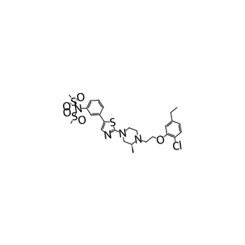 CCc1ccc(Cl)c(OCCN2CCN(c3ncc(-c4cccc(N(S(C)(=O)=O)S(C)(=O)=O)c4)s3)C[C@@H]2C)c1